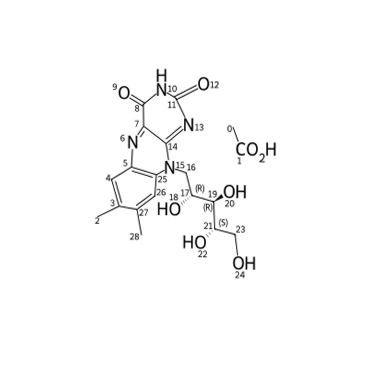 CC(=O)O.Cc1cc2nc3c(=O)[nH]c(=O)nc-3n(C[C@@H](O)[C@@H](O)[C@@H](O)CO)c2cc1C